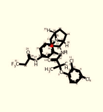 CC(C)(Oc1ccc(Cl)cc1Cl)C(=O)N[C@@H]1CC[C@@H]2CC[C@H]1N2c1ccc(NC(=O)CC(F)(F)F)cc1Cl